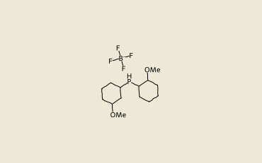 COC1CCCC(PC2CCCCC2OC)C1.F[B-](F)(F)F